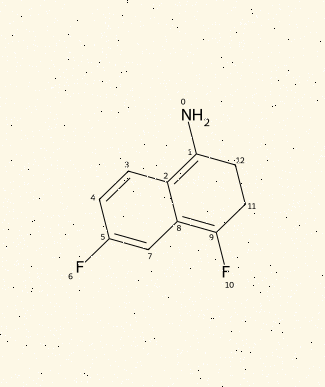 NC1=c2ccc(F)cc2=C(F)CC1